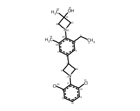 CCc1cc(C2CN(c3c(Cl)cccc3Cl)C2)cc(C)c1N1CC(C)(O)C1